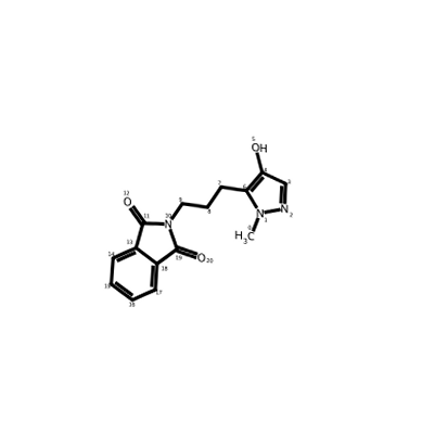 Cn1ncc(O)c1CCCN1C(=O)c2ccccc2C1=O